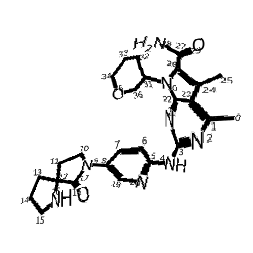 Cc1nc(Nc2ccc(N3CCC4(CCCN4)C3=O)cn2)nc2c1c(C)c(C(N)=O)n2C1CCCOC1